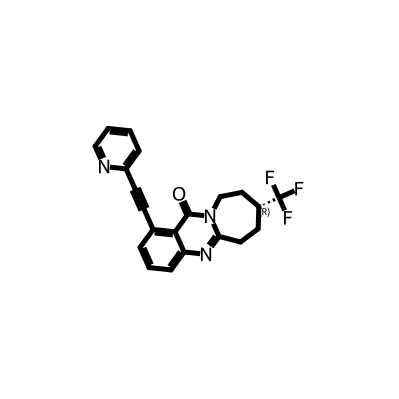 O=c1c2c(C#Cc3ccccn3)cccc2nc2n1CC[C@H](C(F)(F)F)CC2